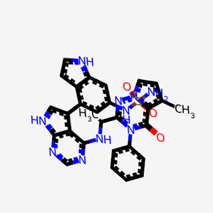 Cc1ccn2nc([C@H](C)Nc3ncnc4[nH]cc(-c5cc(NS(N)(=O)=O)cc6[nH]ccc56)c34)n(-c3ccccc3)c(=O)c12